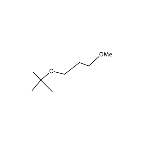 COCCCOC(C)(C)C